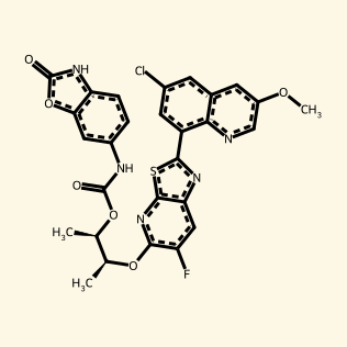 COc1cnc2c(-c3nc4cc(F)c(O[C@@H](C)[C@@H](C)OC(=O)Nc5ccc6[nH]c(=O)oc6c5)nc4s3)cc(Cl)cc2c1